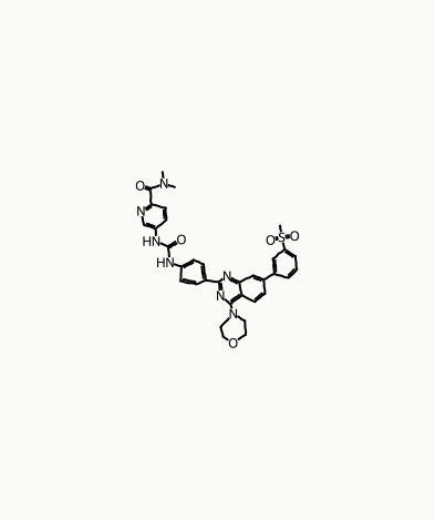 CN(C)C(=O)c1ccc(NC(=O)Nc2ccc(-c3nc(N4CCOCC4)c4ccc(-c5cccc(S(C)(=O)=O)c5)cc4n3)cc2)cn1